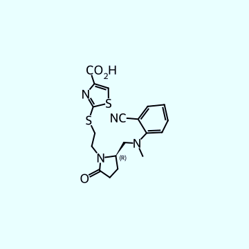 CN(C[C@H]1CCC(=O)N1CCSc1nc(C(=O)O)cs1)c1ccccc1C#N